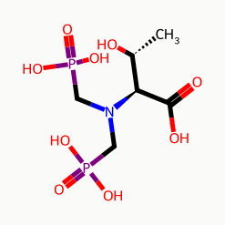 C[C@@H](O)[C@@H](C(=O)O)N(CP(=O)(O)O)CP(=O)(O)O